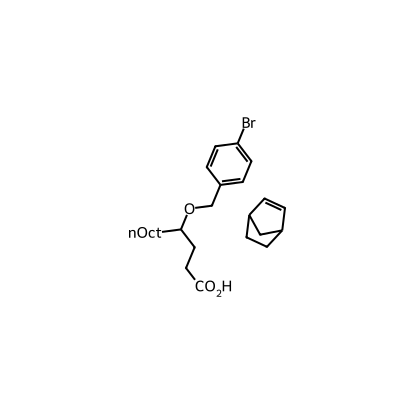 C1=CC2CCC1C2.CCCCCCCCC(CCC(=O)O)OCc1ccc(Br)cc1